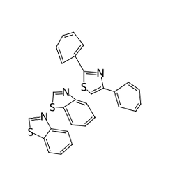 c1ccc(-c2csc(-c3ccccc3)n2)cc1.c1ccc2scnc2c1.c1ccc2scnc2c1